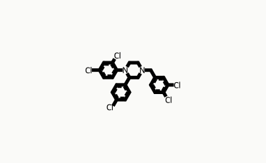 Clc1ccc(C2CN(Cc3ccc(Cl)c(Cl)c3)CCN2c2ccc(Cl)cc2Cl)cc1